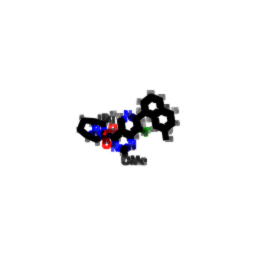 COc1nc(N2CC3CCC(C2)N3C(=O)OC(C)(C)C)c2cnc(-c3cccc4ccc(C)cc34)c(F)c2n1